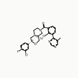 Cc1cncnc1-c1cccc(C(=O)N2CCN3C[C@@H](c4ccc(F)c(Cl)c4)OC[C@@H]3C2)c1Cl